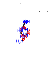 NCCOCCNC(=O)[C@@H]1CCNC(=O)/C=C/C(=O)N2CCC[C@](Cc3ccccc3)(C2)C(=O)NC(Cc2ccc(-c3ccc(-c4nn[nH]n4)cc3)cc2)C(=O)NCc2ccccc2CC(=O)N1